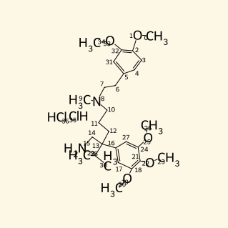 COc1ccc(CCN(C)CCCC(CN)(c2cc(OC)c(OC)c(OC)c2)C(C)C)cc1OC.Cl.Cl